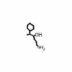 CC(C(O)CCCN)C1CCCCC1